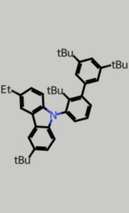 CCc1ccc2c(c1)c1cc(C(C)(C)C)ccc1n2-c1cccc(-c2cc(C(C)(C)C)cc(C(C)(C)C)c2)c1C(C)(C)C